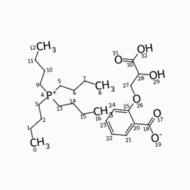 CCCC[P+](CCCC)(CCCC)CCCC.O=C([O-])c1ccccc1OCC(O)C(=O)O